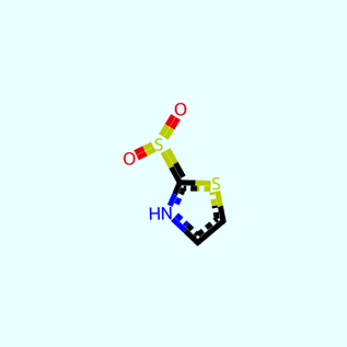 O=S(=O)=c1[nH]ccs1